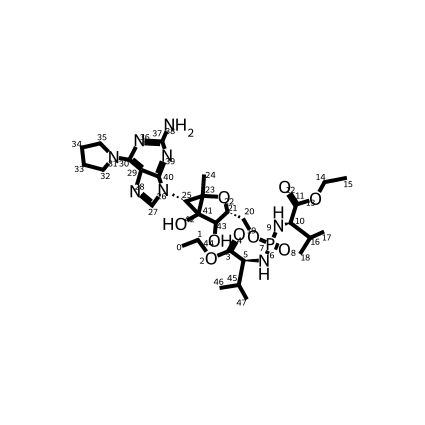 CCOC(=O)[C@@H](NP(=O)(N[C@H](C(=O)OCC)C(C)C)OC[C@H]1OC2(C)[C@@H](n3cnc4c(N5CCCC5)nc(N)nc43)C2(O)C1O)C(C)C